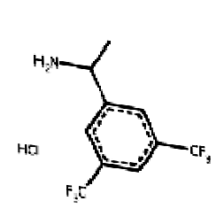 CC(N)c1cc(C(F)(F)F)cc(C(F)(F)F)c1.Cl